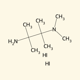 CN(C)C(C)(C)C(C)(C)N.I.I